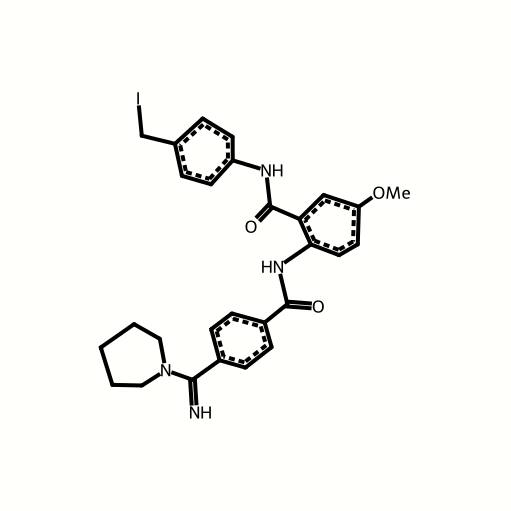 COc1ccc(NC(=O)c2ccc(C(=N)N3CCCCC3)cc2)c(C(=O)Nc2ccc(CI)cc2)c1